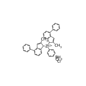 B.CC1=Cc2c(-c3ccccc3)cccc2[CH]1[Zr+2]([c]1ccccc1)[CH]1C(C)=Cc2c(-c3ccccc3)cccc21.[Cl-].[Cl-]